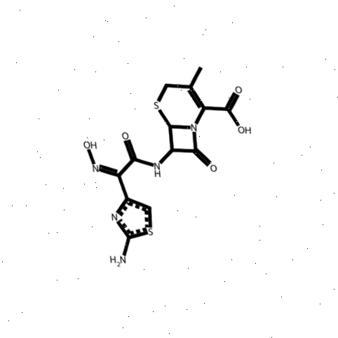 CC1=C(C(=O)O)N2C(=O)C(NC(=O)/C(=N\O)c3csc(N)n3)C2SC1